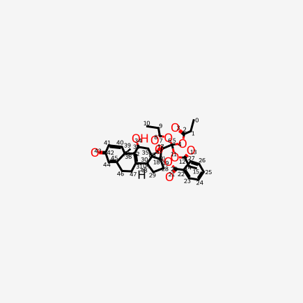 CCC(=O)OC(OC(=O)CC)(OC(=O)CC)C(=O)[C@@]1(OC(=O)c2ccccc2)CC[C@H]2C3=C(C(O)C[C@@]21C)[C@@]1(C)C=CC(=O)C=C1CC3